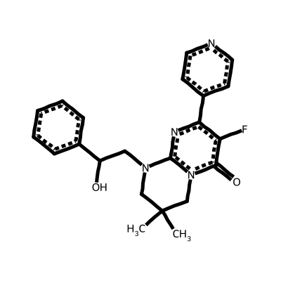 CC1(C)CN(CC(O)c2ccccc2)c2nc(-c3ccncc3)c(F)c(=O)n2C1